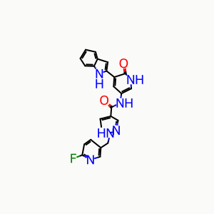 C/C=C(\C=N/NCc1ccc(F)nc1)C(=O)Nc1c[nH]c(=O)c(-c2cc3ccccc3[nH]2)c1